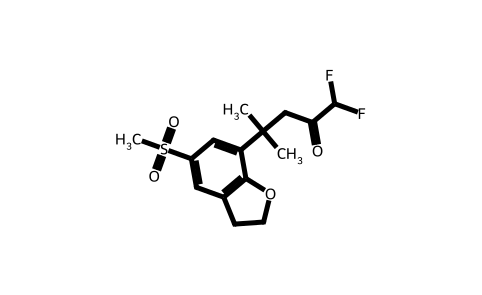 CC(C)(CC(=O)C(F)F)c1cc(S(C)(=O)=O)cc2c1OCC2